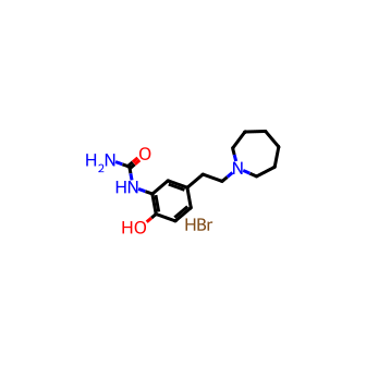 Br.NC(=O)Nc1cc(CCN2CCCCCC2)ccc1O